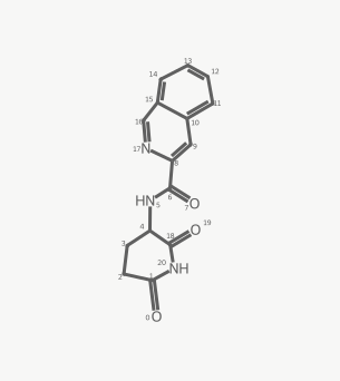 O=C1CCC(NC(=O)c2cc3ccccc3cn2)C(=O)N1